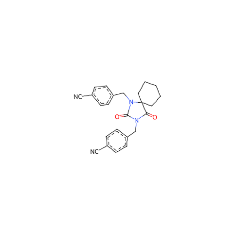 N#Cc1ccc(CN2C(=O)N(Cc3ccc(C#N)cc3)C3(CCCCC3)C2=O)cc1